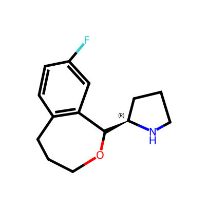 Fc1ccc2c(c1)C([C@H]1CCCN1)OCCC2